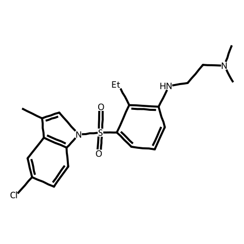 CCc1c(NCCN(C)C)cccc1S(=O)(=O)n1cc(C)c2cc(Cl)ccc21